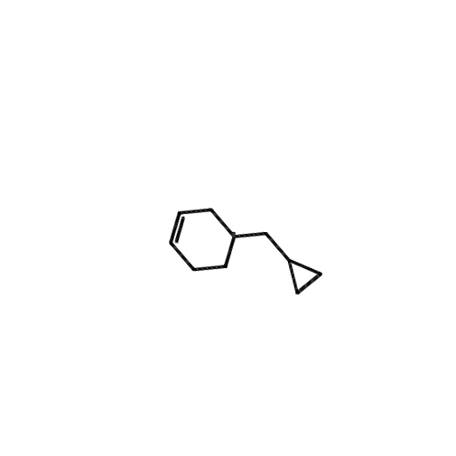 C1=CC[C](CC2CC2)CC1